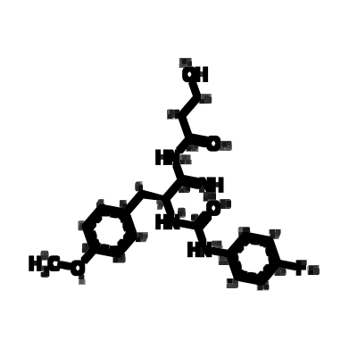 COc1ccc(C[C@H](NC(=O)Nc2ccc(F)cc2)C(=N)NC(=O)CCO)cc1